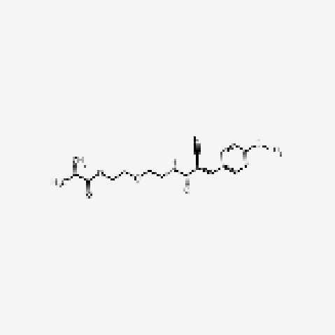 C=C(C)C(=O)OCCOCCNC(=O)/C(C#N)=C/c1ccc(OC)cc1